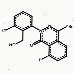 CCCCc1nn(-c2cccc(Cl)c2CO)c(=O)c2c(F)cccc12